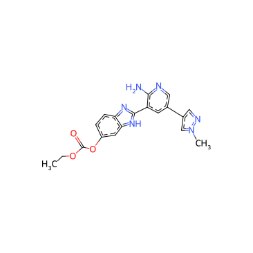 CCOC(=O)Oc1ccc2nc(-c3cc(-c4cnn(C)c4)cnc3N)[nH]c2c1